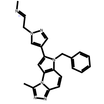 C/N=C/Cn1cc(-c2cc3c(ccc4nnc(C)n43)n2Cc2ccccc2)cn1